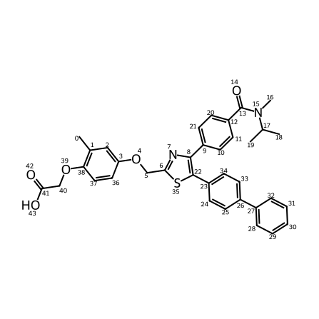 Cc1cc(OCc2nc(-c3ccc(C(=O)N(C)C(C)C)cc3)c(-c3ccc(-c4ccccc4)cc3)s2)ccc1OCC(=O)O